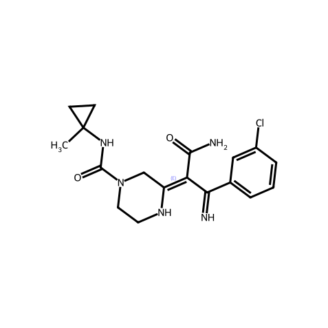 CC1(NC(=O)N2CCN/C(=C(\C(=N)c3cccc(Cl)c3)C(N)=O)C2)CC1